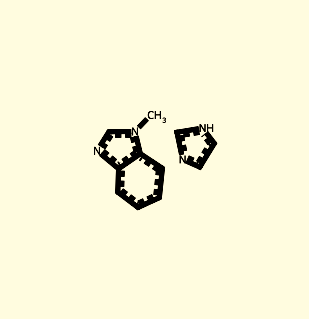 Cn1cnc2ccccc21.c1c[nH]cn1